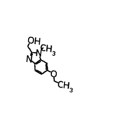 CCOc1ccc2nc(CO)n(C)c2c1